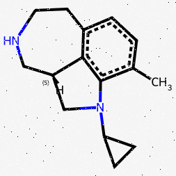 Cc1ccc2c3c1N(C1CC1)C[C@@H]3CNCC2